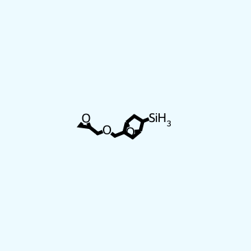 [SiH3]C1CC2OC1CC2COCC1CO1